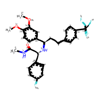 CNC(=O)[C@H](N[C@H](CCc1ccc(C(F)(F)F)cc1)c1ccc(OC)c(OC)c1)c1ccc(F)cc1